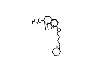 C=C1CCc2ccc(OCCCCN3CCCCC3)nc2N1